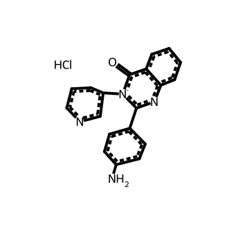 Cl.Nc1ccc(-c2nc3ccccc3c(=O)n2-c2cccnc2)cc1